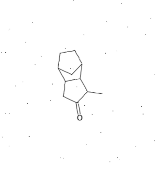 CC1C(=O)CC2C3CCC(C3)C12